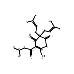 CC(C)=CCC1(CC=C(C)C)C(=O)CC(O)=C(C(=O)CC(C)C)C1=O